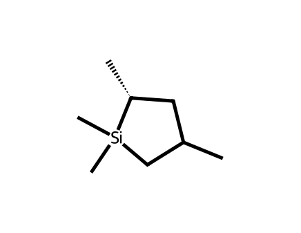 CC1C[C@@H](C)[Si](C)(C)C1